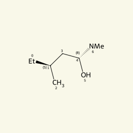 CC[C@H](C)C[C@@H](O)NC